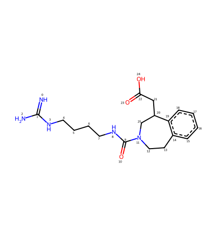 N=C(N)NCCCCNC(=O)N1CCc2ccccc2C(CC(=O)O)C1